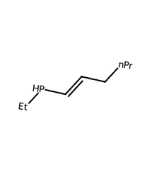 CCCCC=CPCC